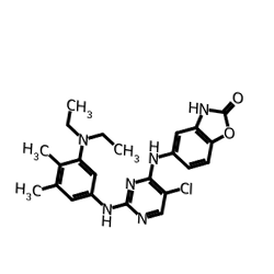 CCN(CC)c1cc(Nc2ncc(Cl)c(Nc3ccc4oc(=O)[nH]c4c3)n2)cc(C)c1C